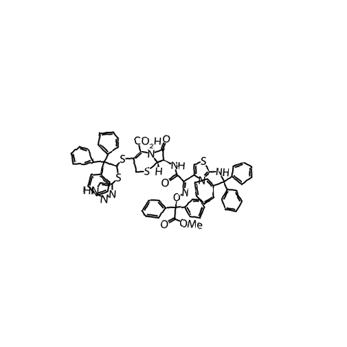 COC(=O)C(O/N=C(\C(=O)N[C@@H]1C(=O)N2C(C(=O)O)=C(SC(Sc3c[nH]nn3)C(c3ccccc3)(c3ccccc3)c3ccccc3)CS[C@@H]12)c1csc(NC(c2ccccc2)(c2ccccc2)c2ccccc2)n1)(c1ccccc1)c1ccccc1